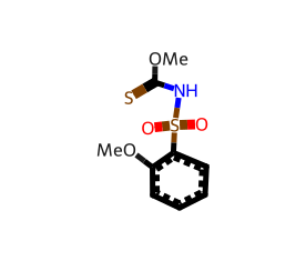 COC(=S)NS(=O)(=O)c1ccccc1OC